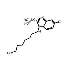 Cl.O=[N+]([O-])O.OCCCCCCNc1ccnc2cc(Cl)ccc12